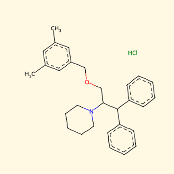 Cc1cc(C)cc(COCC(C(c2ccccc2)c2ccccc2)N2CCCCC2)c1.Cl